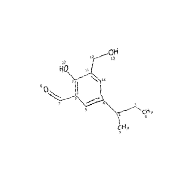 CCC(C)c1cc(C=O)c(O)c(CO)c1